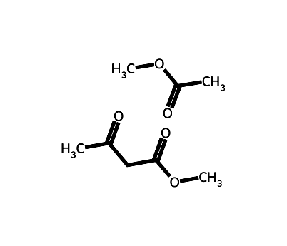 COC(=O)CC(C)=O.COC(C)=O